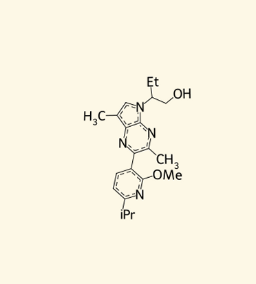 CCC(CO)n1cc(C)c2nc(-c3ccc(C(C)C)nc3OC)c(C)nc21